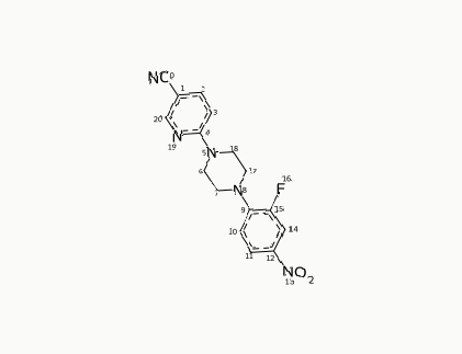 N#Cc1ccc(N2CCN(c3ccc([N+](=O)[O-])cc3F)CC2)nc1